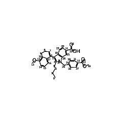 CCCCc1c(C2=CCCc3c(OC)cccc32)c2ccc(C(=O)O)cc2n1Cc1ccc(C(=O)OC)cc1